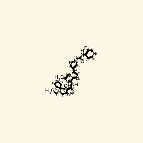 CCN(Cc1cc(Nc2nc(C)cn3c(-c4cnn(CC(=O)Nc5ccncc5F)c4)cnc23)sn1)C1(CO)CCCC1